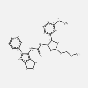 COCCN1CC(NC(=O)Nc2c3c(nn2-c2ccccc2)CCC3)C(c2cccc(OC)c2)C1